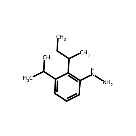 CCC(C)c1c(NN)cccc1C(C)C